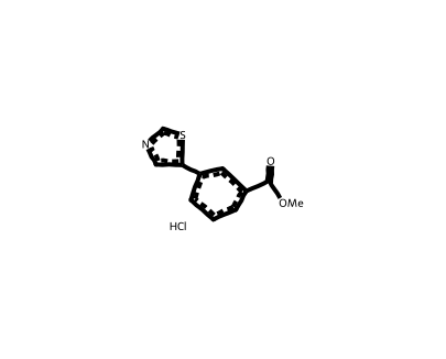 COC(=O)c1cccc(-c2cncs2)c1.Cl